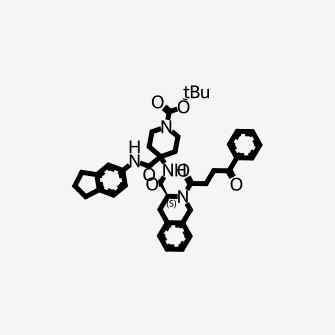 CC(C)(C)OC(=O)N1CCC(NC(=O)[C@@H]2Cc3ccccc3CN2C(=O)CCC(=O)c2ccccc2)(C(=O)Nc2ccc3c(c2)CCC3)CC1